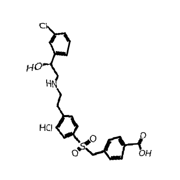 Cl.O=C(O)c1ccc(CS(=O)(=O)c2ccc(CCNC[C@@H](O)c3cccc(Cl)c3)cc2)cc1